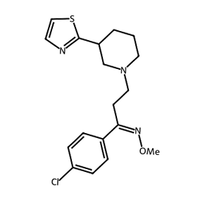 CON=C(CCN1CCCC(c2nccs2)C1)c1ccc(Cl)cc1